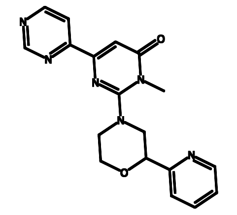 Cn1c(N2CCOC(c3ccccn3)C2)nc(-c2ccncn2)cc1=O